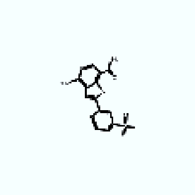 CS(=O)(=O)c1cccc(-c2cc3c(N)ncc(C(N)=O)c3s2)c1